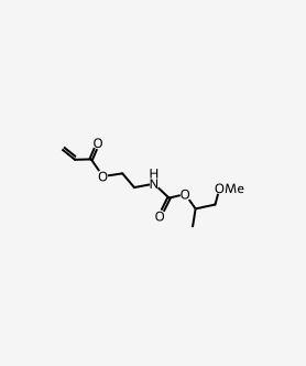 C=CC(=O)OCCNC(=O)OC(C)COC